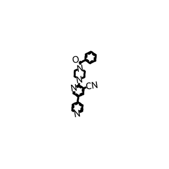 N#Cc1cc(-c2ccncc2)cnc1N1CCN(C(=O)c2ccccc2)CC1